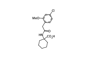 COc1cc(Cl)ccc1CC(=O)NC1(C(=O)O)CCCCC1